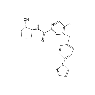 O=C(N[C@H]1CCC[C@@H]1O)c1cc(Cc2ccc(-n3cccn3)cc2)c(Cl)cn1